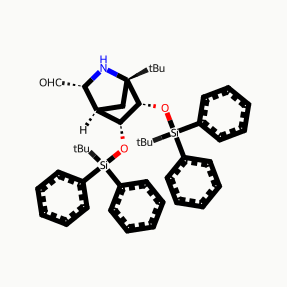 CC(C)(C)[C@]12C[C@@H]([C@@H](O[Si](c3ccccc3)(c3ccccc3)C(C)(C)C)[C@H]1O[Si](c1ccccc1)(c1ccccc1)C(C)(C)C)[C@H](C=O)N2